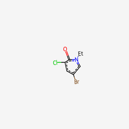 CCn1cc(Br)cc(Cl)c1=O